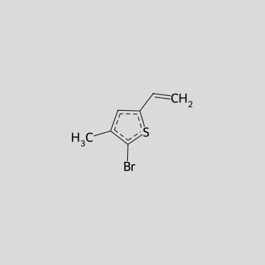 C=Cc1cc(C)c(Br)s1